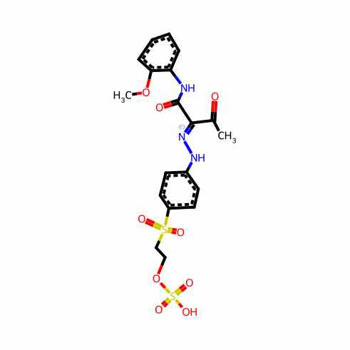 COc1ccccc1NC(=O)/C(=N/Nc1ccc(S(=O)(=O)CCOS(=O)(=O)O)cc1)C(C)=O